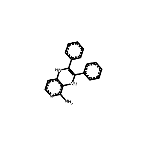 Nc1n[c]cc2c1NC(c1ccccc1)=C(c1ccccc1)N2